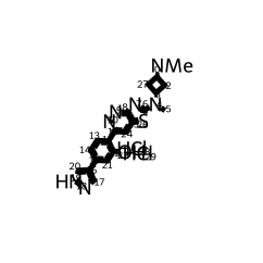 CN[C@H]1C[C@@H](N(C)c2nc3nnc(-c4ccc(-c5cn[nH]c5)cc4O)cc3s2)C1.Cl.Cl